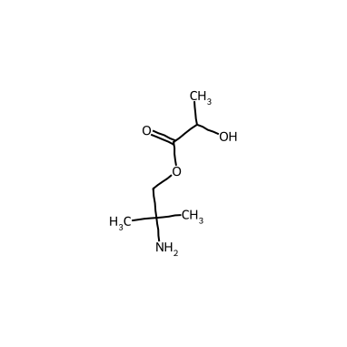 CC(O)C(=O)OCC(C)(C)N